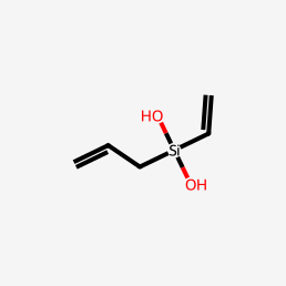 C=CC[Si](O)(O)C=C